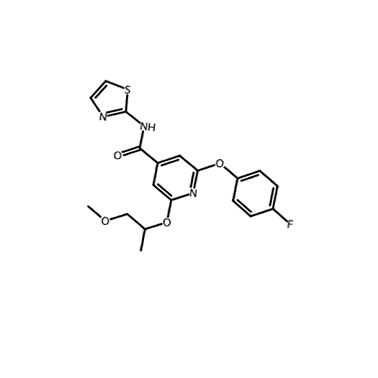 COCC(C)Oc1cc(C(=O)Nc2nccs2)cc(Oc2ccc(F)cc2)n1